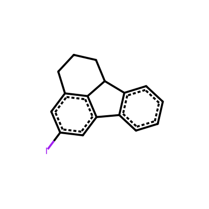 Ic1cc2c3c(c1)-c1ccccc1C3CCC2